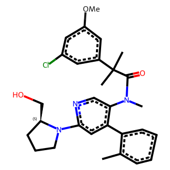 COc1cc(Cl)cc(C(C)(C)C(=O)N(C)c2cnc(N3CCC[C@H]3CO)cc2-c2ccccc2C)c1